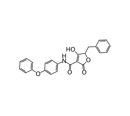 O=C(Nc1ccc(Oc2ccccc2)cc1)C1=C(O)C(Cc2ccccc2)OC1=O